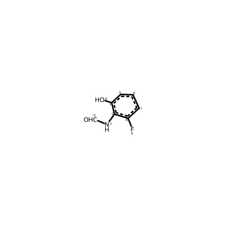 O=CNc1c(O)cccc1F